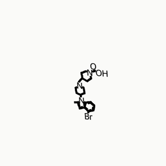 Cc1cc2c(Br)cccc2n1C1CCN(CC2CCN(C(=O)O)CC2)CC1